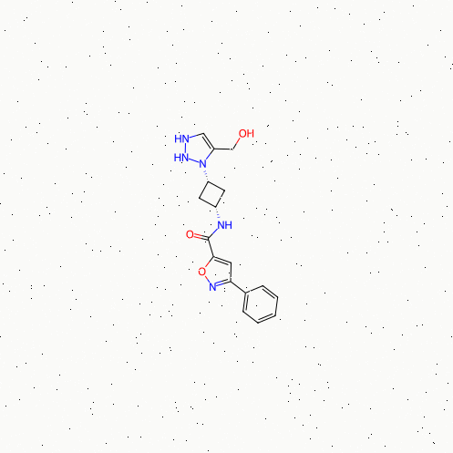 O=C(N[C@H]1C[C@@H](N2NNC=C2CO)C1)c1cc(-c2ccccc2)no1